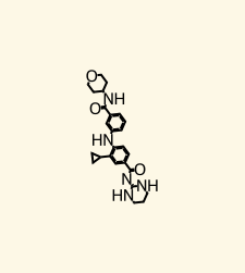 O=C(N=C1NCCCN1)c1ccc(Nc2cccc(C(=O)NC3CCOCC3)c2)c(C2CC2)c1